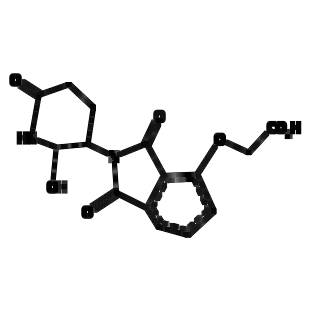 O=C(O)COc1cccc2c1C(=O)N(C1CCC(=O)NC1O)C2=O